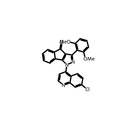 COc1cccc(OC)c1-c1nn(-c2ccnc3cc(Cl)ccc23)c2c1C(=O)c1ccccc1-2